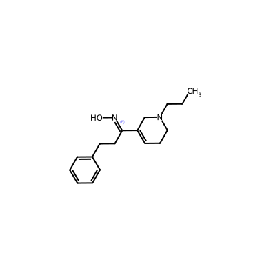 CCCN1CCC=C(/C(CCc2ccccc2)=N/O)C1